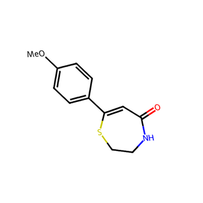 COc1ccc(C2=CC(=O)NCCS2)cc1